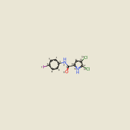 O=C(Nc1ccc(I)cc1)c1cc(Cl)c(Cl)[nH]1